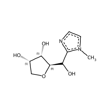 Cn1ccnc1C(O)[C@H]1OC[C@H](O)[C@@H]1O